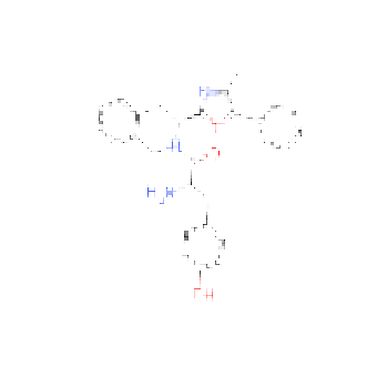 Cc1nc([C@@H]2Cc3ccccc3CN2C(=O)[C@@H](N)Cc2ccc(O)cc2)oc1-c1ccccc1